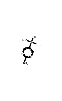 C[Si](C)(C)c1cnc(N)nc1